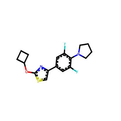 Fc1cc(-c2csc(OC3CCC3)n2)cc(F)c1N1CCCC1